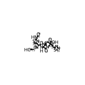 C#CCON=C(C(=O)NC1C(=O)N2CC(CSc3nncs3)(C(=O)O)CS[C@H]12)c1csc(NC=O)n1